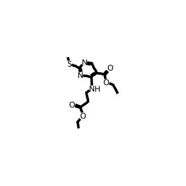 CCOC(=O)CCNc1nc(SC)ncc1C(=O)OCC